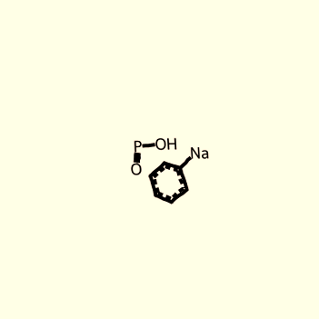 O=PO.[Na][c]1ccccc1